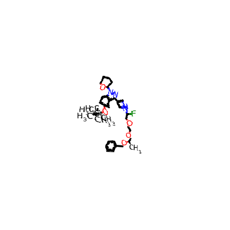 CC(COCCOCC(F)n1cc(-c2nn(C3CCCCO3)c3ccc(O[Si](C)(C)C(C)(C)C)cc23)cn1)OCc1ccccc1